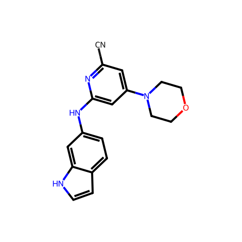 N#Cc1cc(N2CCOCC2)cc(Nc2ccc3cc[nH]c3c2)n1